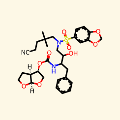 CC(C)(CCC#N)CN(CC(O)C(Cc1ccccc1)NC(=O)O[C@H]1CO[C@H]2OCC[C@H]21)S(=O)(=O)c1ccc2c(c1)OCO2